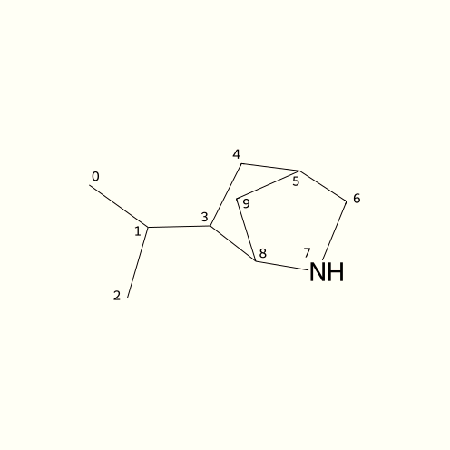 CC(C)C1CC2CNC1C2